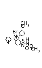 COCc1cccc(-n2nc(-c3cccnc3)c3c2-c2sc(NC(=O)OC)nc2CC3)c1Br